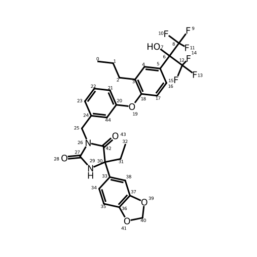 CCCc1cc(C(O)(C(F)(F)F)C(F)(F)F)ccc1Oc1cccc(CN2C(=O)NC(CC)(c3ccc4c(c3)OCO4)C2=O)c1